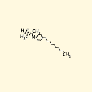 CCCCCCCCCCc1ccc(/N=C(\C)N(C)C)cc1